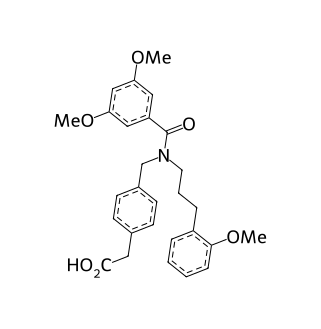 COc1cc(OC)cc(C(=O)N(CCCc2ccccc2OC)Cc2ccc(CC(=O)O)cc2)c1